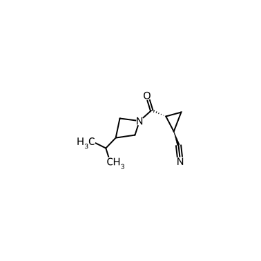 CC(C)C1CN(C(=O)[C@@H]2C[C@H]2C#N)C1